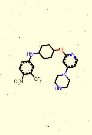 O=[N+]([O-])c1ccc(NC2CCC(Oc3cc(N4CCNCC4)ccn3)CC2)cc1C(F)(F)F